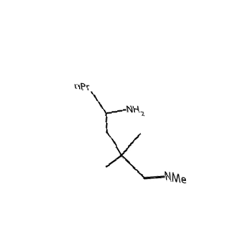 CCCC(N)CC(C)(C)CNC